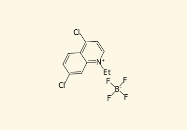 CC[n+]1ccc(Cl)c2ccc(Cl)cc21.F[B-](F)(F)F